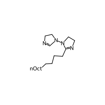 CCCCCCCCCCCCC1=NCCN1N1C=NCC1